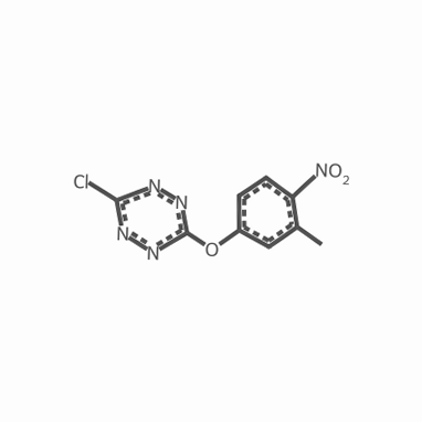 Cc1cc(Oc2nnc(Cl)nn2)ccc1[N+](=O)[O-]